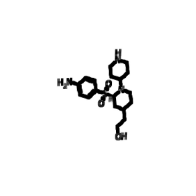 Nc1ccc(S(=O)(=O)[C@@H]2CC(CCO)CCN2C2CCNCC2)cc1